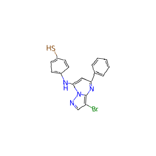 Sc1ccc(Nc2cc(-c3ccccc3)nc3c(Br)cnn23)cc1